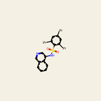 CC(C)c1cc(C(C)C)c(S(=O)(=O)Nc2cn[c]c3ccccc23)c(C(C)C)c1